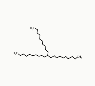 CCCCCCCCCCC(CCCCCCCCCC)CCCCCCCCCC